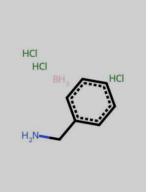 B.Cl.Cl.Cl.NCc1ccccc1